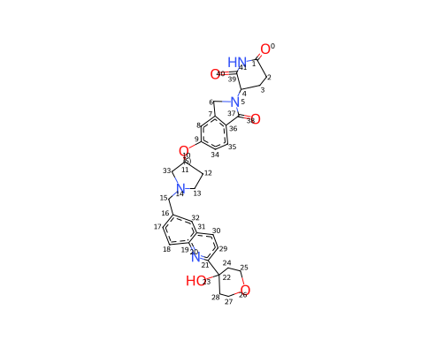 O=C1CCC(N2Cc3cc(O[C@H]4CCN(Cc5ccc6nc(C7(O)CCOCC7)ccc6c5)C4)ccc3C2=O)C(=O)N1